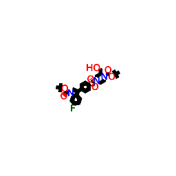 CC(C)(C)OC(=O)N1CCN(S(=O)(=O)c2ccc(-c3cn(C(=O)OC(C)(C)C)c4cc(F)ccc34)cc2)CC1CO